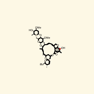 CCC(C)[C@H]1O[C@]2(C=C[C@@H]1C)C[C@@H]1C[C@@H](C/C=C(\C)[C@@H](O[C@H]3C[C@H](OC)[C@@H](O[C@H]4C[C@H](OC)[C@@H](O)[C@H](C)O4)[C@H](C)O3)[C@@H](C)/C=C/C=C3/CO[C@@H]4[C@H](O)C(C)=C[C@@H](C(=O)O1)[C@]34O)O2